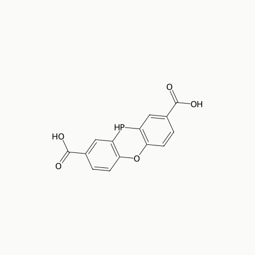 O=C(O)c1ccc2c(c1)Pc1cc(C(=O)O)ccc1O2